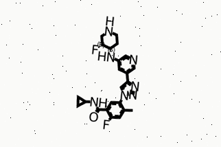 Cc1cc(F)c(C(=O)NC2CC2)cc1-n1cc(-c2cncc(N[C@H]3CCNC[C@H]3F)c2)nn1